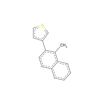 Cc1c(-c2ccsc2)c[c]c2ccccc12